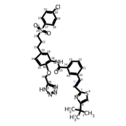 CC(C)(C)c1csc(/C=C/c2cccc(C(=O)Nc3cc(CCCS(=O)(=O)c4ccc(Cl)cc4)ccc3OCc3nnn[nH]3)c2)n1